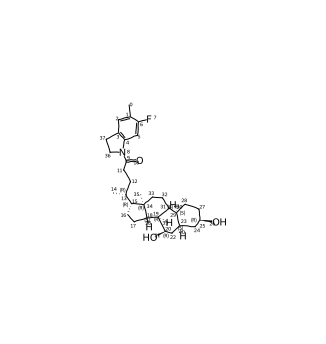 Cc1cc2c(cc1F)N(C(=O)CC[C@@H](C)[C@H]1CC[C@H]3[C@@H]4[C@H](O)C[C@@H]5C[C@H](O)CC[C@]5(C)[C@H]4CC[C@]13C)CC2